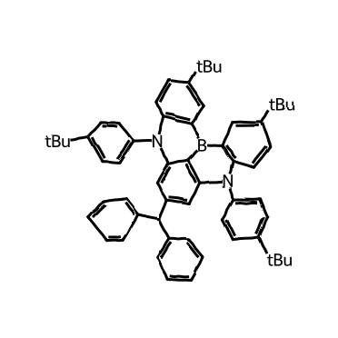 CC(C)(C)c1ccc(N2c3ccc(C(C)(C)C)cc3B3c4cc(C(C)(C)C)ccc4N(c4ccc(C(C)(C)C)cc4)c4cc(C(c5ccccc5)c5ccccc5)cc2c43)cc1